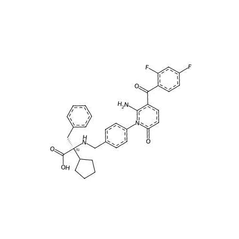 Nc1c(C(=O)c2ccc(F)cc2F)ccc(=O)n1-c1ccc(CN[C@](Cc2ccccc2)(C(=O)O)C2CCCC2)cc1